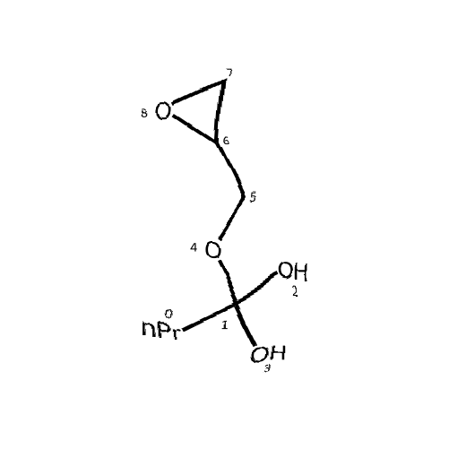 CCCC(O)(O)OCC1CO1